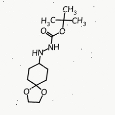 CC(C)(C)OC(=O)NNC1CCC2(CC1)OCCO2